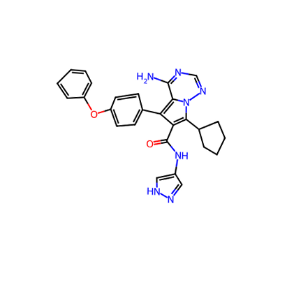 Nc1ncnn2c(C3CCCC3)c(C(=O)Nc3cn[nH]c3)c(-c3ccc(Oc4ccccc4)cc3)c12